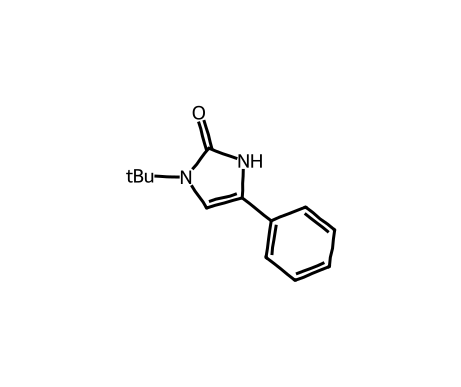 CC(C)(C)n1cc(-c2ccccc2)[nH]c1=O